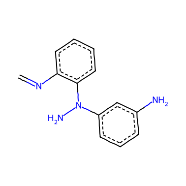 C=Nc1ccccc1N(N)c1cccc(N)c1